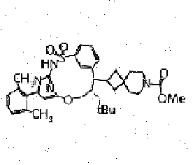 COC(=O)N1CCC2(CC1)CC(C1c3cccc(c3)S(=O)(=O)Nc3nc(cc(-c4c(C)cccc4C)n3)OC[C@H]1CC(C)(C)C)C2